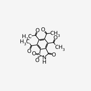 CC(=O)c1c(C(C)=O)c(C(C)=O)c2c(c1C(C)=O)C(=O)NS2(=O)=O